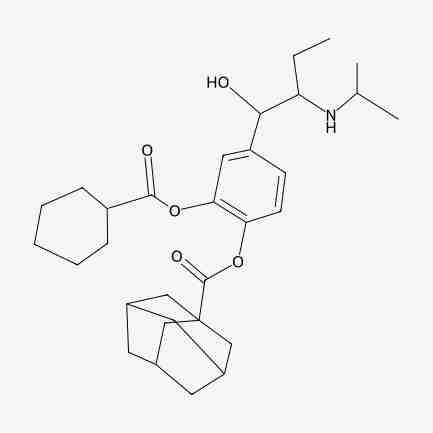 CCC(NC(C)C)C(O)c1ccc(OC(=O)C23CC4CC(CC(C4)C2)C3)c(OC(=O)C2CCCCC2)c1